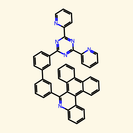 c1ccc(-c2nc(-c3cccc(-c4cccc(-c5nc6ccccc6c6c7ccccc7c7ccccc7c56)c4)c3)nc(-c3ccccn3)n2)nc1